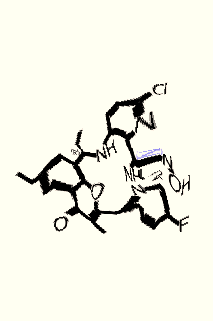 Cc1cc([C@@H](C)Nc2ccc(Cl)nc2/C(N)=N/O)c2oc(-c3ccc(F)cn3)c(C)c(=O)c2c1